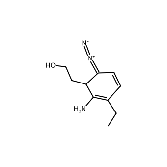 CCC1=C(N)C(CCO)C(=[N+]=[N-])C=C1